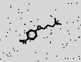 C=Nc1ccc(OCCCN(C)C)cc1